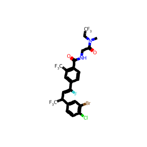 CN(CC(F)(F)F)C(=O)CNC(=O)c1ccc(C(F)=CC(c2ccc(Cl)c(Br)c2)C(F)(F)F)cc1C(F)(F)F